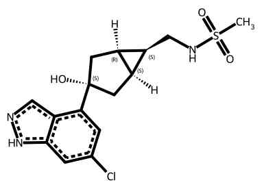 CS(=O)(=O)NC[C@H]1[C@H]2C[C@@](O)(c3cc(Cl)cc4[nH]ncc34)C[C@@H]12